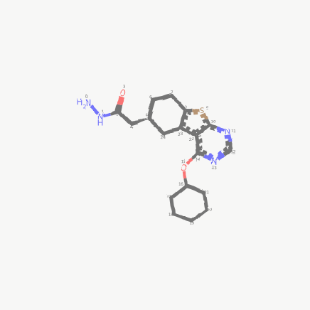 NNC(=O)C[C@H]1CCc2sc3ncnc(OC4CCCCC4)c3c2C1